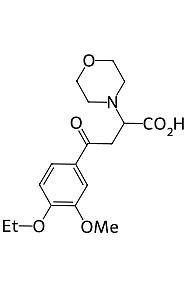 CCOc1ccc(C(=O)CC(C(=O)O)N2CCOCC2)cc1OC